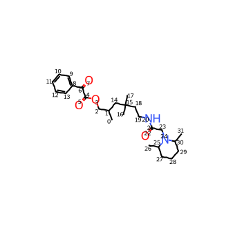 CC(COC(=O)C(=O)c1ccccc1)CC(C)(C)CCNC(=O)CN1C(C)CCCC1C